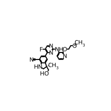 COCCOc1ncccc1Nc1ncc(F)c(-c2cc(C#N)c3c(c2)[C@@](C)(CO)CN3)n1